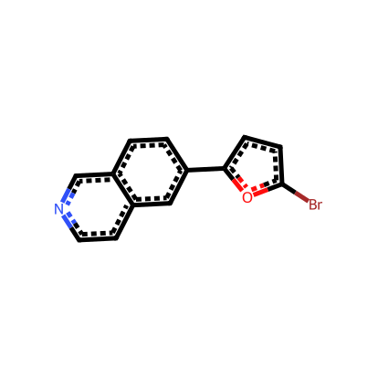 Brc1ccc(-c2ccc3cnccc3c2)o1